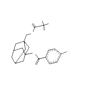 Cc1ccc(C(=O)OC23CC4CC(CC(COC(=O)C(F)(F)S(=O)(=O)O)(C4)C2)C3)cc1